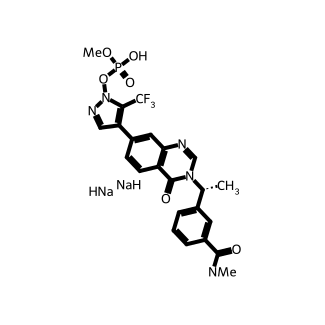 CNC(=O)c1cccc([C@@H](C)n2cnc3cc(-c4cnn(OP(=O)(O)OC)c4C(F)(F)F)ccc3c2=O)c1.[NaH].[NaH]